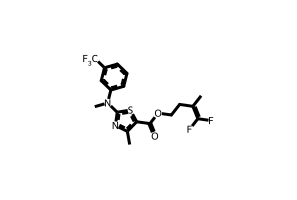 CC(CCOC(=O)c1sc(N(C)c2cccc(C(F)(F)F)c2)nc1C)=C(F)F